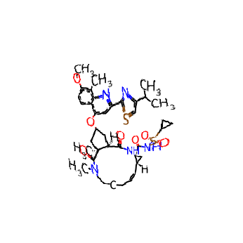 COc1ccc2c(O[C@@H]3C[C@H]4C(=O)N[C@]5(C(=O)NS(=O)(=O)C6CC6)C[C@@H]5/C=C\CCCCN(C)C(=O)[C@@]4(C)C3)cc(-c3nc(C(C)C)cs3)nc2c1C